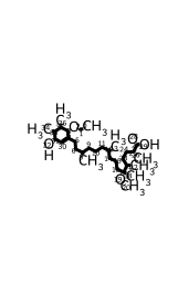 CCOC1C(CCC(C)CCCC(C)CCCC(C)(OC)C(C)CCC(C)C(=O)O)=CC(O)C(C)C1C